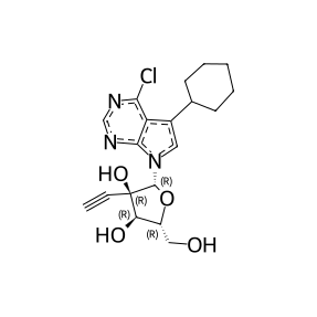 C#C[C@@]1(O)[C@H](O)[C@@H](CO)O[C@H]1n1cc(C2CCCCC2)c2c(Cl)ncnc21